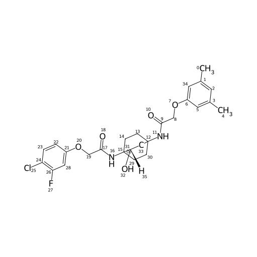 Cc1cc(C)cc(OCC(=O)NC23CCC(NC(=O)COc4ccc(Cl)c(F)c4)(CC2)[C@@H](O)C3)c1